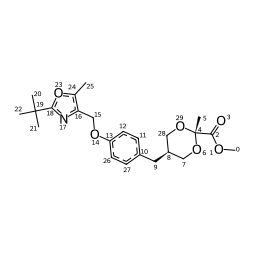 COC(=O)[C@]1(C)OC[C@@H](Cc2ccc(OCc3nc(C(C)(C)C)oc3C)cc2)CO1